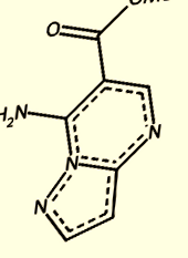 COC(=O)c1cnc2ccnn2c1N